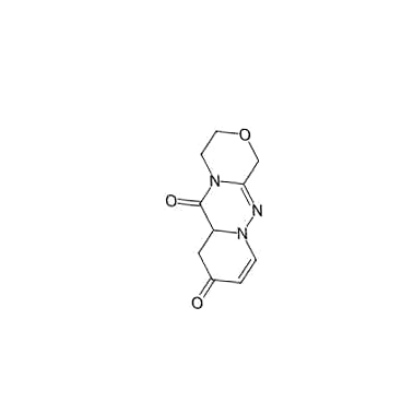 O=C1C=CN2N=C3COCCN3C(=O)C2C1